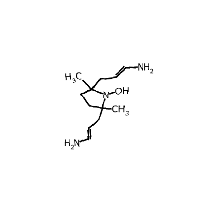 CC1(CC=CN)CCC(C)(CC=CN)N1O